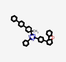 CC1(c2nc(-c3ccccc3)nc(-c3ccc(-c4cccc5oc6ccccc6c45)cc3)n2)C=CC(c2ccc(-c3ccccc3)cc2)=CC1